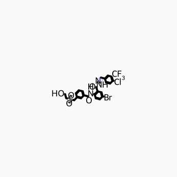 O=C(Nc1ccc(Br)cc1C(=O)N/N=C\c1ccc(Cl)c(C(F)(F)F)c1)c1cccc(CS(=O)(=O)CCO)c1